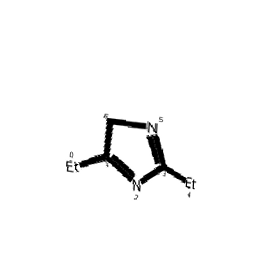 CCC1=NC(CC)=NC1